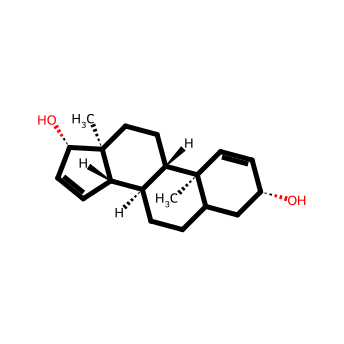 C[C@]12CC[C@H]3[C@@H](CCC4C[C@@H](O)C=C[C@@]43C)[C@@H]1C=C[C@@H]2O